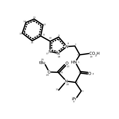 CC(C)CC(C(=O)NC(Cn1cc(-c2ccccc2)nn1)C(=O)O)N(C)C(=O)OC(C)(C)C